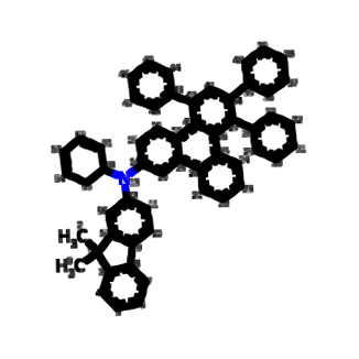 CC1(C)c2ccccc2-c2ccc(N(c3ccc4c(c3)c3ccccc3c3c(-c5ccccc5)c(-c5ccccc5)cc(-c5ccccc5)c43)C3C=CC=CC3)cc21